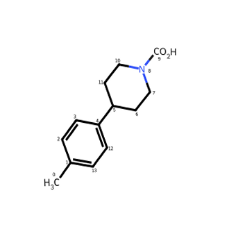 Cc1ccc(C2CCN(C(=O)O)CC2)cc1